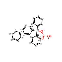 OB(O)OC(c1ccccc1)(c1ccccc1)c1ccccc1.c1ccccc1